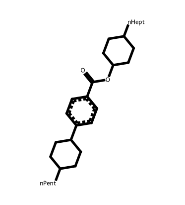 CCCCCCCC1CCC(OC(=O)c2ccc(C3CCC(CCCCC)CC3)cc2)CC1